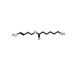 C/C=C/CCOC(=O)CCCCCO